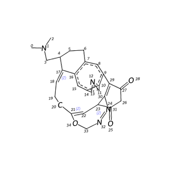 CN(C)CC1CCc2cc3c4cncc-4cc2/C1=C\CC/C1=C/C2C(=O)CC(=O)C3=C2/N=N\CO1